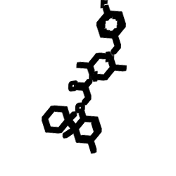 CC1=CC(C)(C2(C)CCCCC2)C(OCC(=O)N2CC(C)N(Cc3ccc(F)cc3)CC2C)C=C1